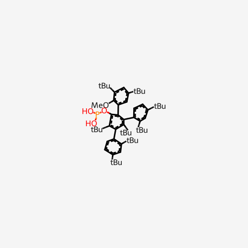 COc1c(-c2c(OP(O)O)c(C(C)(C)C)c(-c3ccc(C(C)(C)C)cc3C(C)(C)C)c(C(C)(C)C)c2-c2ccc(C(C)(C)C)cc2C(C)(C)C)cc(C(C)(C)C)cc1C(C)(C)C